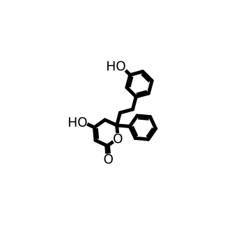 O=C1C=C(O)CC(CCc2cccc(O)c2)(c2ccccc2)O1